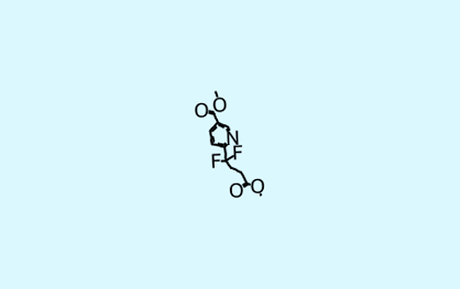 COC(=O)CCC(F)(F)c1ccc(C(=O)OC)cn1